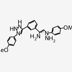 COc1ccc(N(N)/C=C(\N)c2cccc(C3=CN(c4ccc(OC)cc4)NN3)c2)cc1